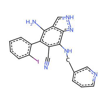 N#Cc1c(-c2ccccc2I)c(N)c2c[nH]nc2c1NCc1cccnc1